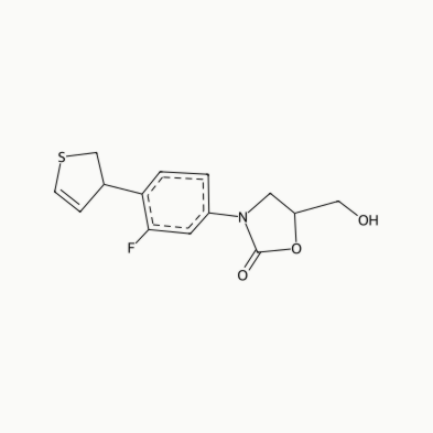 O=C1OC(CO)CN1c1ccc(C2C=CSC2)c(F)c1